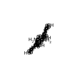 Nc1cc(S(=O)(=O)O)c(-c2cc(N=Nc3ccc(N=Nc4ccc(S(=O)(=O)O)cc4)cc3S(=O)(=O)O)c(N)cc2S(=O)(=O)O)cc1N=Nc1ccc(N=Nc2ccc(S(=O)(=O)O)cc2)cc1S(=O)(=O)O